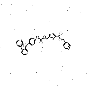 O=C(OCc1ccc(C(=O)OCc2ccccc2)s1)Oc1ccc([SH]2c3ccccc3-c3ccccc32)cc1